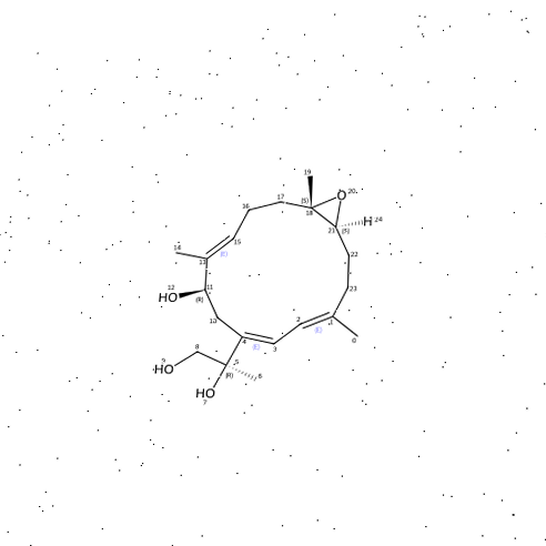 C/C1=C\C=C(\[C@@](C)(O)CO)C[C@@H](O)/C(C)=C/CC[C@]2(C)O[C@H]2CC1